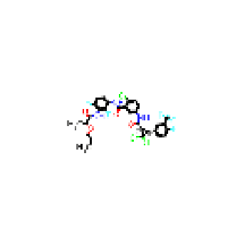 CCCOC(C)C(=O)Nc1c(F)ccc(NC(=O)c2cc(NC(=O)[C@H]3[C@H](c4ccc(F)c(C(F)(F)F)c4)C3(Cl)Cl)ccc2Cl)c1F